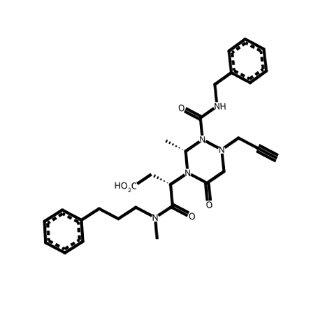 C#CCN1CC(=O)N([C@@H](CC(=O)O)C(=O)N(C)CCCc2ccccc2)[C@H](C)N1C(=O)NCc1ccccc1